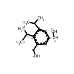 CC(C)c1cccc(CO)c1C(C)C.OO